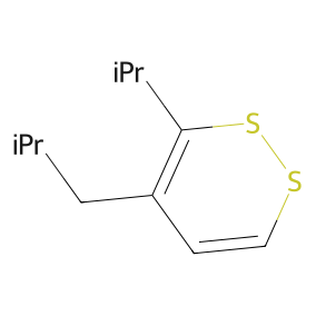 CC(C)CC1=C(C(C)C)SSC=C1